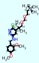 COc1ccc(CNc2cc(C(C)(C)COCOCC[Si](C)(C)C)c(Cl)nn2)c(OC)c1